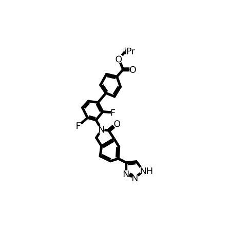 CC(C)OC(=O)c1ccc(-c2ccc(F)c(N3Cc4ccc(-c5c[nH]nn5)cc4C3=O)c2F)cc1